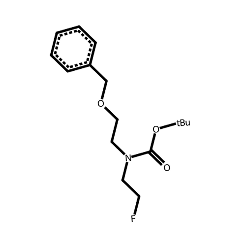 CC(C)(C)OC(=O)N(CCF)CCOCc1ccccc1